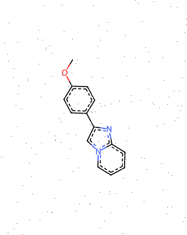 COc1ccc(-c2cn3ccccc3n2)cc1